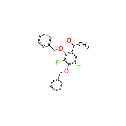 CC(=O)c1cc(F)c(OCc2ccccc2)c(F)c1OCc1ccccc1